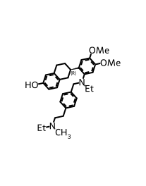 CCN(C)CCc1ccc(CN(CC)c2cc(OC)c(OC)cc2[C@@H]2CCc3cc(O)ccc3C2)cc1